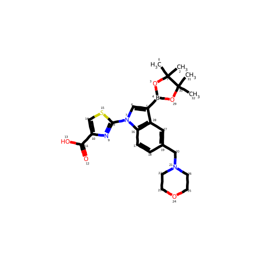 CC1(C)OB(c2cn(-c3nc(C(=O)O)cs3)c3ccc(CN4CCOCC4)cc23)OC1(C)C